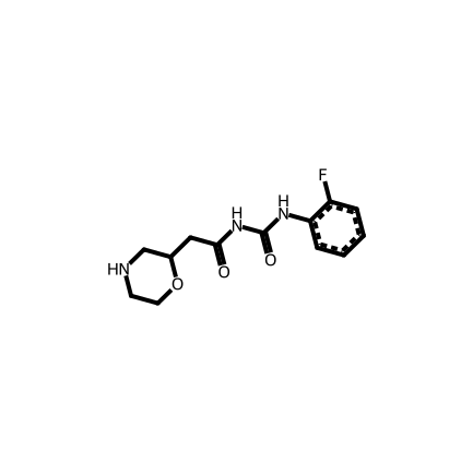 O=C(CC1CNCCO1)NC(=O)Nc1ccccc1F